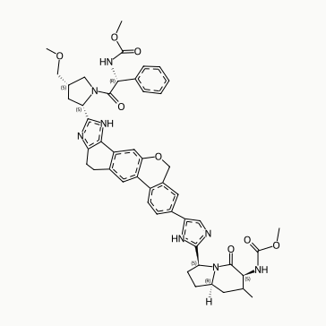 COC[C@H]1C[C@@H](c2nc3c([nH]2)-c2cc4c(cc2CC3)-c2ccc(-c3cnc([C@@H]5CC[C@@H]6CC(C)[C@H](NC(=O)OC)C(=O)N65)[nH]3)cc2CO4)N(C(=O)[C@H](NC(=O)OC)c2ccccc2)C1